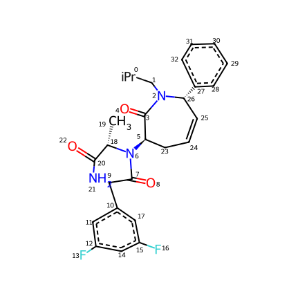 CC(C)CN1C(=O)[C@H](N(C(=O)Cc2cc(F)cc(F)c2)[C@@H](C)C(N)=O)CC=C[C@H]1c1ccccc1